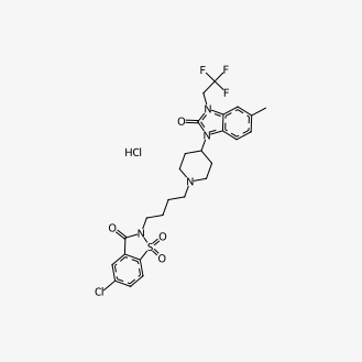 Cc1ccc2c(c1)n(CC(F)(F)F)c(=O)n2C1CCN(CCCCN2C(=O)c3cc(Cl)ccc3S2(=O)=O)CC1.Cl